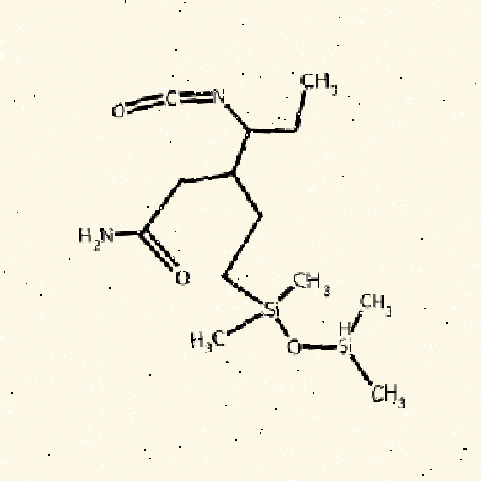 CCC(N=C=O)C(CC[Si](C)(C)O[SiH](C)C)CC(N)=O